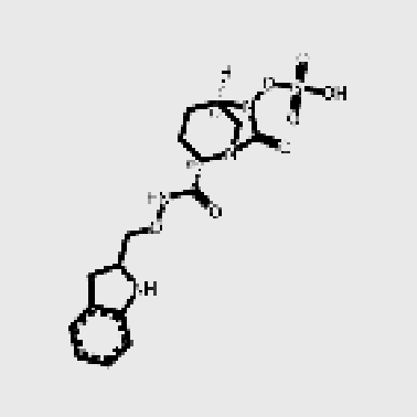 O=C(NOCC1Cc2ccccc2N1)[C@@H]1CC[C@@H]2CN1C(=O)N2OS(=O)(=O)O